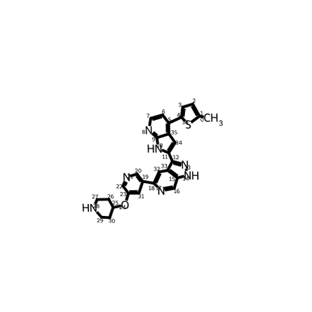 Cc1ccc(-c2ccnc3[nH]c(-c4n[nH]c5cnc(-c6cncc(OC7CCNCC7)c6)cc45)cc23)s1